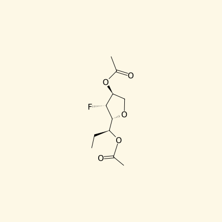 CC[C@H](OC(C)=O)[C@H]1OC[C@H](OC(C)=O)[C@H]1F